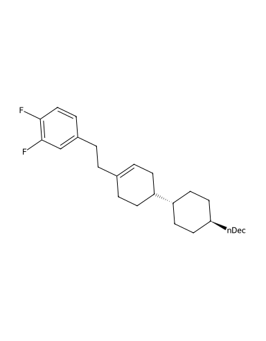 CCCCCCCCCC[C@H]1CC[C@H](C2CC=C(CCc3ccc(F)c(F)c3)CC2)CC1